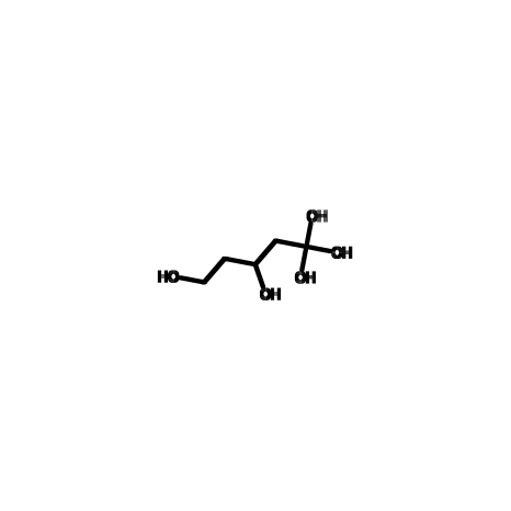 OCCC(O)CC(O)(O)O